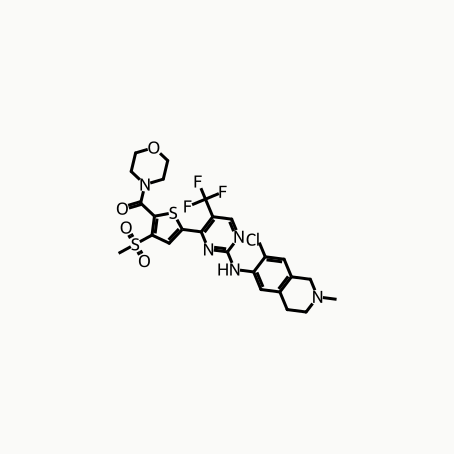 CN1CCc2cc(Nc3ncc(C(F)(F)F)c(-c4cc(S(C)(=O)=O)c(C(=O)N5CCOCC5)s4)n3)c(Cl)cc2C1